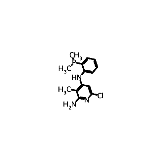 Cc1c(Nc2ccccc2P(C)C)cc(Cl)nc1N